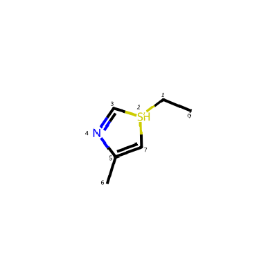 CC[SH]1C=NC(C)=C1